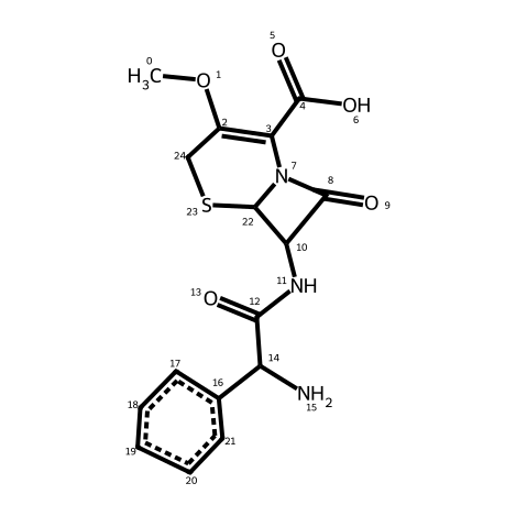 COC1=C(C(=O)O)N2C(=O)C(NC(=O)C(N)c3ccccc3)C2SC1